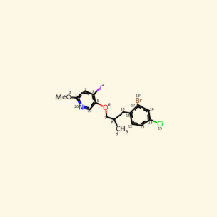 COc1cc(I)c(OCC(C)Cc2ccc(Cl)cc2Br)cn1